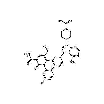 Cc1c(CC#N)cc(C(N)=O)c(=O)n1-c1cc(F)cnc1-c1ccc(-c2cc(C3CCN(C(=O)C(C)C)CC3)n3ncnc(N)c23)cc1